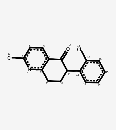 O=C1c2ccc(Cl)nc2CCC1c1ccccc1Cl